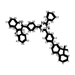 CC1(C)c2ccccc2-c2ccc(-c3ccc(-c4nc(-c5ccccc5)nc(-c5ccc(-c6nc7ccccc7c7sc8ccccc8c67)cc5)n4)cc3)cc21